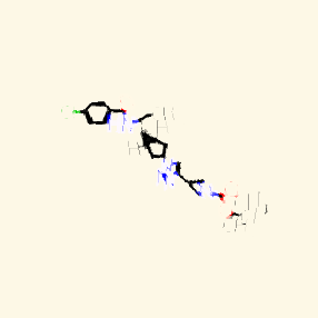 CCC(NC(=O)c1ccc(Cl)cc1)[C@H]1[C@@H]2C[C@@H](n3cc(C4CN(C(=O)OC(C)(C)C)C4)nn3)C[C@@H]21